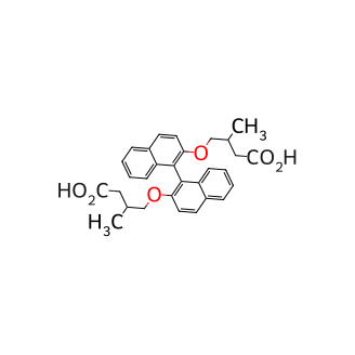 CC(COc1ccc2ccccc2c1-c1c(OCC(C)CC(=O)O)ccc2ccccc12)CC(=O)O